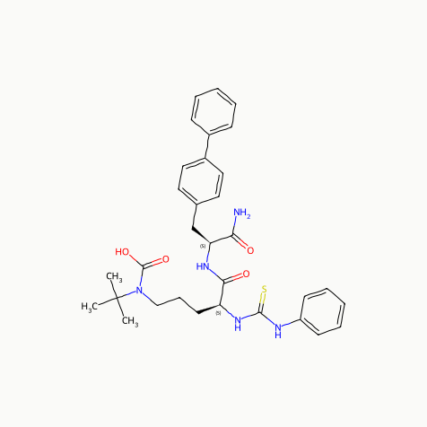 CC(C)(C)N(CCC[C@H](NC(=S)Nc1ccccc1)C(=O)N[C@@H](Cc1ccc(-c2ccccc2)cc1)C(N)=O)C(=O)O